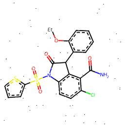 CCOc1ccccc1[C]1C(=O)N(S(=O)(=O)c2cccs2)c2ccc(Cl)c(C(N)=O)c21